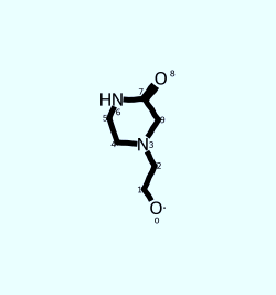 [O]CCN1CCNC(=O)C1